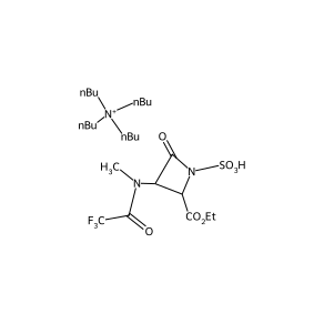 CCCC[N+](CCCC)(CCCC)CCCC.CCOC(=O)C1C(N(C)C(=O)C(F)(F)F)C(=O)N1S(=O)(=O)O